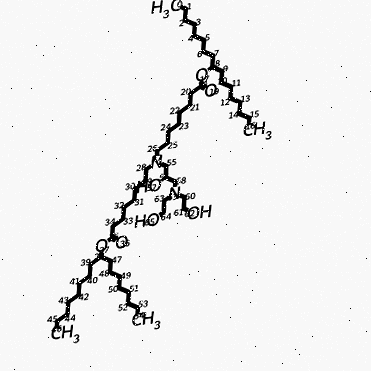 CCCCCCCCC(CCCCCCCC)OC(=O)CCCCCCCN(CCCCCCCC(=O)OC(CCCCCCCC)CCCCCCCC)C[C@H](O)CN(CCO)CCO